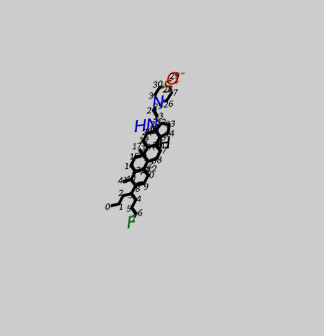 CCCC(CCCF)C1=CC[C@@]2(C)C(CCC3(C)C4CC[C@@]5(NCCN6CC[S+]([O-])CC6)CCCC5[C@H]4CCC32)C1C